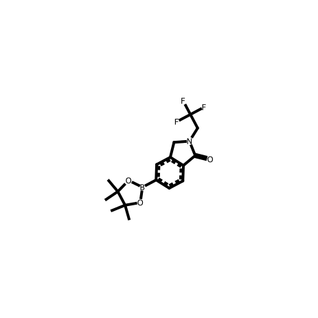 CC1(C)OB(c2ccc3c(c2)CN(CC(F)(F)F)C3=O)OC1(C)C